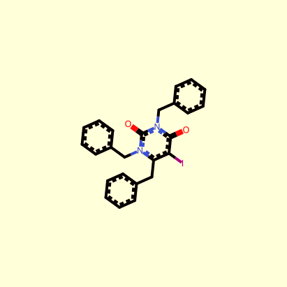 O=c1c(I)c(Cc2ccccc2)n(Cc2ccccc2)c(=O)n1Cc1ccccc1